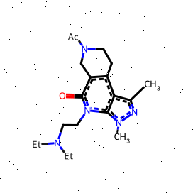 CCN(CC)CCn1c(=O)c2c(c3c(C)nn(C)c31)CCN(C(C)=O)C2